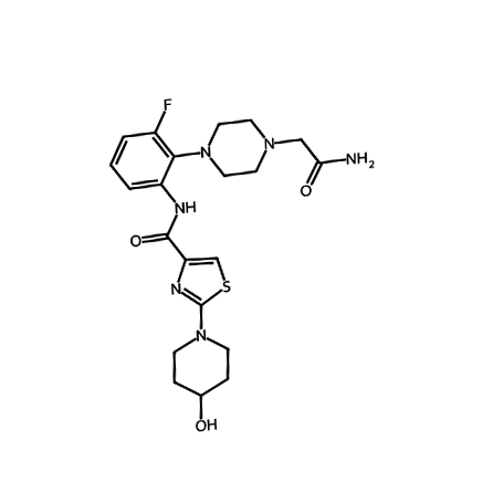 NC(=O)CN1CCN(c2c(F)cccc2NC(=O)c2csc(N3CCC(O)CC3)n2)CC1